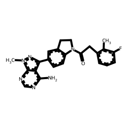 Cc1c(F)cccc1CC(=O)N1CCc2cc(-c3nn(C)c4ncnc(N)c34)ccc21